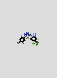 Cc1ccc(-c2nnc(Nc3ccc(C(F)(F)F)cc3)s2)cc1